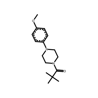 COc1ccc(N2CCN(C(=O)C(C)(C)C)CC2)cc1